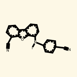 N#Cc1ccc(N(I)c2cccc3c2oc2c(C#N)cccc23)cc1